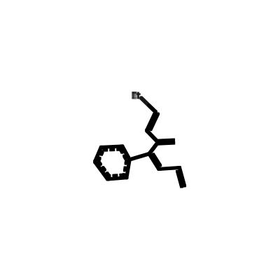 C=CC=C(C(=C)C=CCC)c1ccccc1